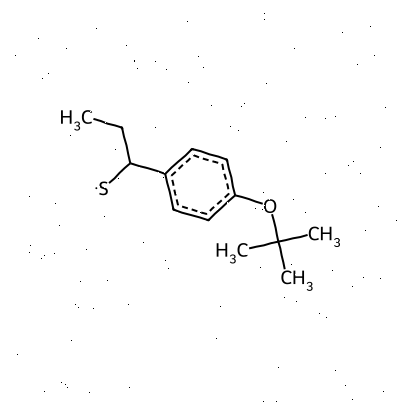 CCC([S])c1ccc(OC(C)(C)C)cc1